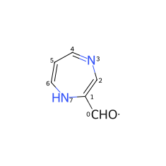 O=[C]C1=CN=CC=CN1